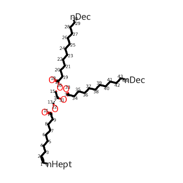 CCCCCCC/C=C\CCCCCCCC(=O)OC[C@H](COC(=O)CCCCCCCCCCCCCCCCCCCCC)OC(=O)CCCCCCCCCCCCCCCCCCCC